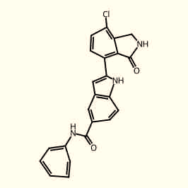 O=C(Nc1ccccc1)c1ccc2[nH]c(-c3ccc(Cl)c4c3C(=O)NC4)cc2c1